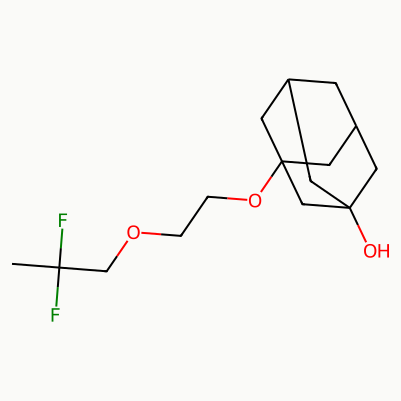 CC(F)(F)COCCOC12CC3CC(CC(O)(C3)C1)C2